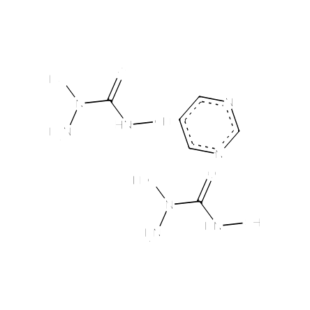 CNC(=O)N(C)N.CNC(=O)N(C)N.c1cncnc1